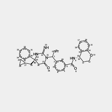 CCCC(c1cccc(C(=O)N[C@H]2CCOc3ccccc32)c1)N1C(=N)N[C@@](CC2CC2)(c2ccccc2)CC1=O